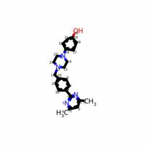 Cc1cc(C)nc(-c2ccc(CN3CCN(c4ccc(O)cc4)CC3)cc2)n1